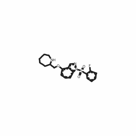 O=S(=O)(c1ccccc1F)n1ncc2c(OCC3CCCCCN3)cccc21